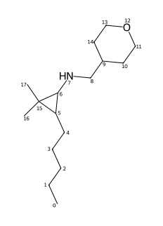 CCCCCC1C(NCC2CCOCC2)C1(C)C